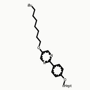 CCCCCCCOc1ccc(-c2ncc(OCCCCCCCC(C)CC)cn2)cc1